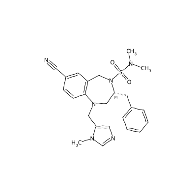 CN(C)S(=O)(=O)N1Cc2cc(C#N)ccc2N(Cc2cncn2C)C[C@H]1Cc1ccccc1